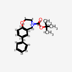 CC(C)(C)OC(=O)N1CCOc2ccc(-c3ccccc3)cc2C1